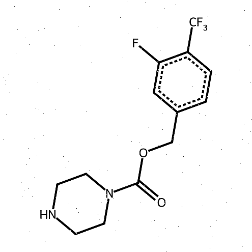 O=C(OCc1ccc(C(F)(F)F)c(F)c1)N1CCNCC1